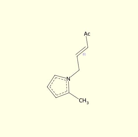 CC(=O)/C=C/Cn1cccc1C